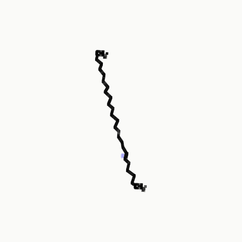 [CH2]CCCC/C=C/CCCCCCCCCCCCCCCCC[CH2]